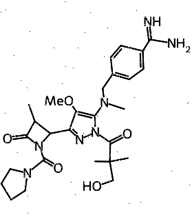 COc1c(C2C(C)C(=O)N2C(=O)N2CCCC2)nn(C(=O)C(C)(C)CO)c1N(C)Cc1ccc(C(=N)N)cc1